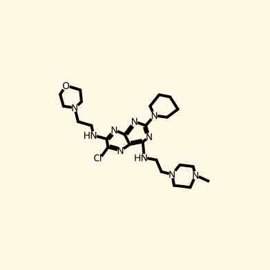 CN1CCN(CCNc2nc(N3CCCCC3)nc3nc(NCCN4CCOCC4)c(Cl)nc23)CC1